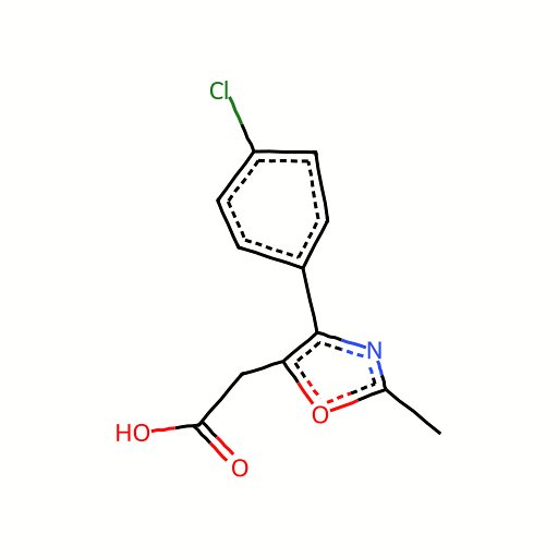 Cc1nc(-c2ccc(Cl)cc2)c(CC(=O)O)o1